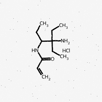 C=CC(=O)NC(CC)C(N)(CC)CC.Cl